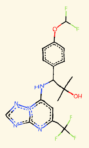 CC(C)(O)C(Nc1cc(C(F)(F)F)nc2ncnn12)c1ccc(OC(F)F)cc1